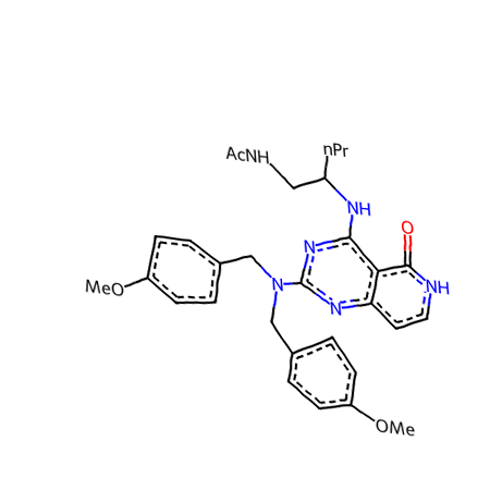 CCCC(CNC(C)=O)Nc1nc(N(Cc2ccc(OC)cc2)Cc2ccc(OC)cc2)nc2cc[nH]c(=O)c12